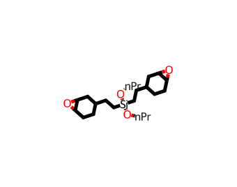 CCCO[Si](CCC1CCC2OC2C1)(CCC1CCC2OC2C1)OCCC